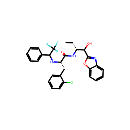 CC[C@@H](NC(=O)[C@H](Cc1ccccc1Cl)NC(c1ccccc1)C(F)(F)F)C(O)c1nc2ccccc2o1